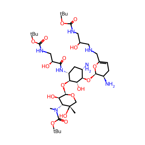 CN(C(=O)OC(C)(C)C)[C@@H]1[C@@H](O)[C@@H](O[C@@H]2[C@@H](O)[C@H](O[C@H]3OC(CNCC(O)CNC(=O)OC(C)(C)C)=CC[C@H]3N)[C@@H](N)C[C@H]2NC(=O)[C@@H](O)CNC(=O)OC(C)(C)C)OC[C@]1(C)O